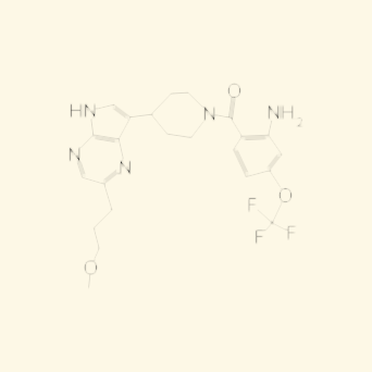 COCCCc1cnc2[nH]cc(C3CCN(C(=O)c4ccc(OC(F)(F)F)cc4N)CC3)c2n1